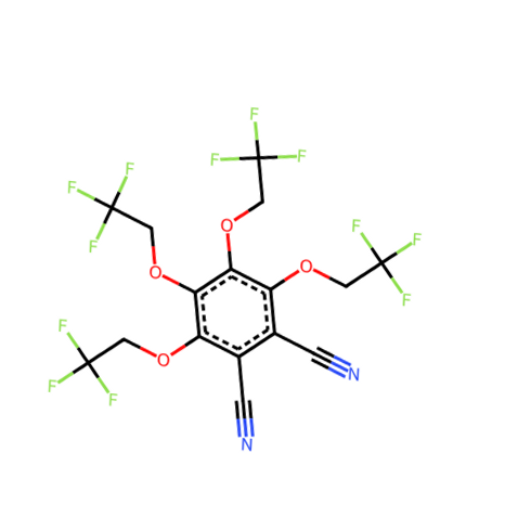 N#Cc1c(C#N)c(OCC(F)(F)F)c(OCC(F)(F)F)c(OCC(F)(F)F)c1OCC(F)(F)F